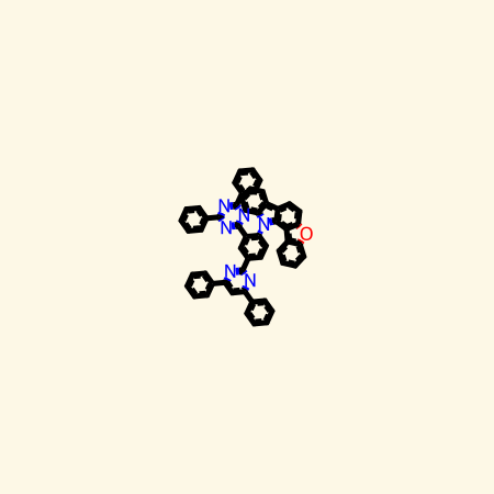 c1ccc(-c2cc(-c3ccccc3)nc(-c3ccc(-n4c5ccccc5c5ccc6oc7ccccc7c6c54)c(-c4nc(-c5ccccc5)nc(-c5ccccc5)n4)c3)n2)cc1